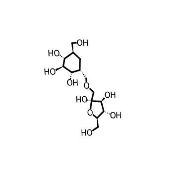 OC[C@H]1C[C@H](COC[C@]2(O)O[C@H](CO)[C@@H](O)[C@@H]2O)[C@H](O)[C@@H](O)[C@@H]1O